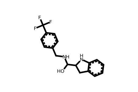 OC(NCc1ccc(C(F)(F)F)cc1)C1Cc2ccccc2N1